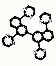 c1cnc(-c2cc(-c3cc(-c4ncccn4)c4cccc(-c5ncccn5)c4c3)cc3c(-c4ncccn4)cccc23)nc1